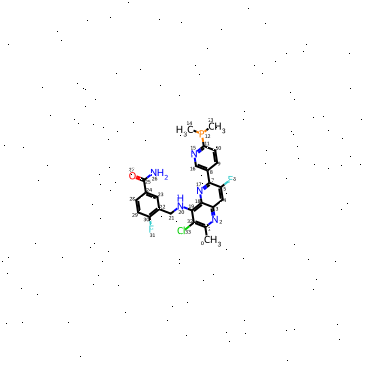 Cc1nc2cc(F)c(-c3ccc(P(C)C)nc3)nc2c(NCc2cc(C(N)=O)ccc2F)c1Cl